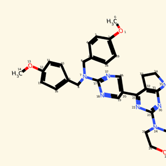 COc1ccc(CN(Cc2ccc(OC)cc2)c2ncc(-c3nc(N4CCOCC4)nc4c3CCN4)cn2)cc1